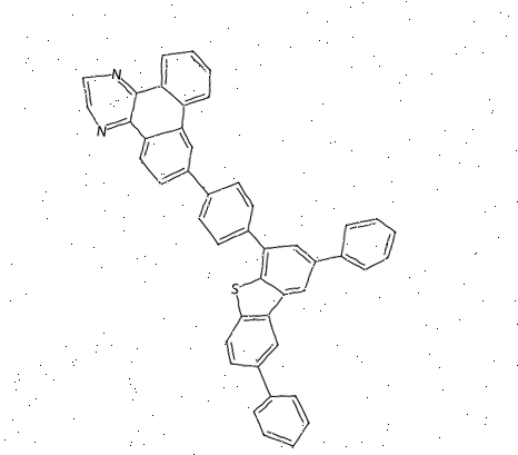 c1ccc(-c2ccc3sc4c(-c5ccc(-c6ccc7c(c6)c6ccccc6c6nccnc76)cc5)cc(-c5ccccc5)cc4c3c2)cc1